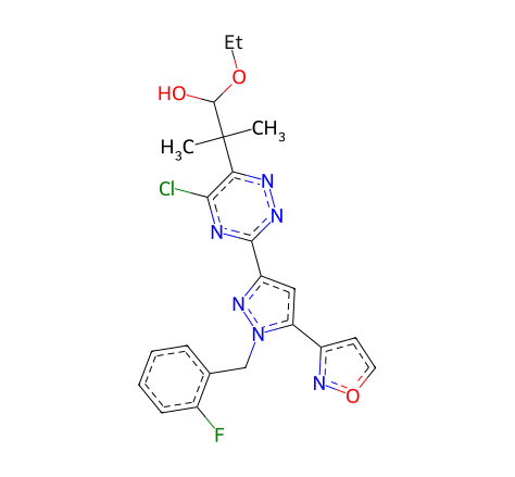 CCOC(O)C(C)(C)c1nnc(-c2cc(-c3ccon3)n(Cc3ccccc3F)n2)nc1Cl